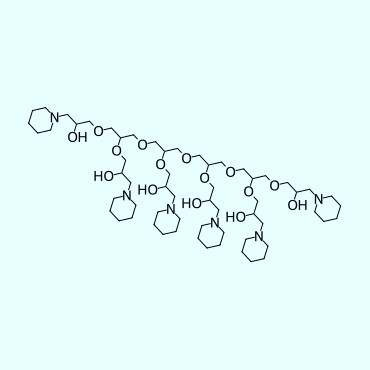 OC(COCC(COCC(COCC(COCC(COCC(O)CN1CCCCC1)OCC(O)CN1CCCCC1)OCC(O)CN1CCCCC1)OCC(O)CN1CCCCC1)OCC(O)CN1CCCCC1)CN1CCCCC1